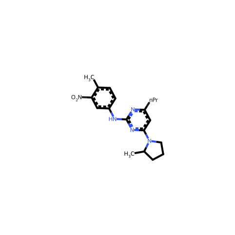 CCCc1cc(N2CCCC2C)nc(Nc2ccc(C)c([N+](=O)[O-])c2)n1